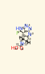 CN(c1ncnc2[nH]c(F)cc12)C1C[C@@H]2CN(C(=O)CO)C[C@@H]2C1